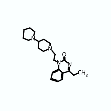 CCc1nc(=O)n(CCN2CCC(N3CCCCC3)CC2)c2ccccc12